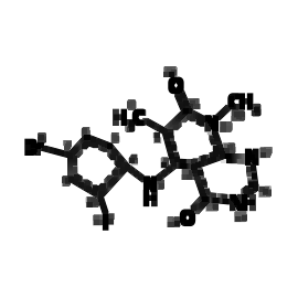 Cc1c(Nc2ccc(Br)cc2F)c2c(=O)[nH]cnc2n(C)c1=O